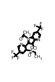 CCS(=O)(=O)c1cc(C(F)(F)F)cnc1-c1c(Cl)c2ncc(C(F)(F)F)cc2n1C(C)=O